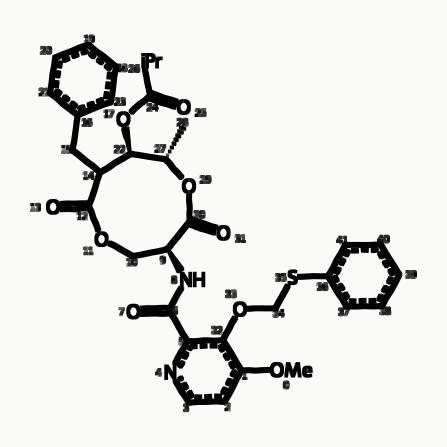 COc1ccnc(C(=O)N[C@H]2COC(=O)C(Cc3ccccc3)[C@@H](OC(=O)C(C)C)[C@H](C)OC2=O)c1OCSc1ccccc1